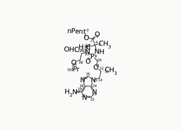 CCCCCOC(=O)C(C)(C)NP(=O)(CO[C@H](C)Cn1cnc2c(N)ncnc21)N[C@@H](C=O)COC(C)C